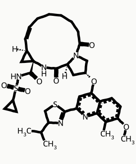 COc1ccc2c(O[C@@H]3C[C@H]4C(=O)N[C@]5(C(=O)NS(=O)(=O)C6CC6)C[C@H]5/C=C\CCCCCC(=O)N4C3)cc(C3=NC(C(C)C)CS3)nc2c1C